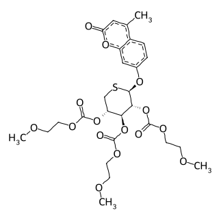 COCCOC(=O)O[C@@H]1[C@@H](OC(=O)OCCOC)[C@H](OC(=O)OCCOC)CS[C@H]1Oc1ccc2c(C)cc(=O)oc2c1